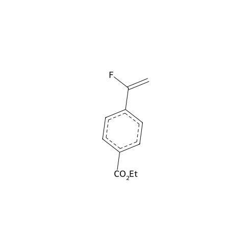 C=C(F)c1ccc(C(=O)OCC)cc1